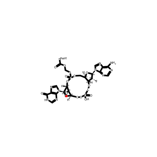 CCCCCC(=O)OCSP1(=O)OC[C@H]2O[C@@H](n3cnc4c(N)ncnc43)[C@H](F)[C@@H]2OCP(=O)(O)OC[C@H]2O[C@@H](n3cnc4c(=O)[nH]cnc43)[C@H](O1)[C@@H]2F